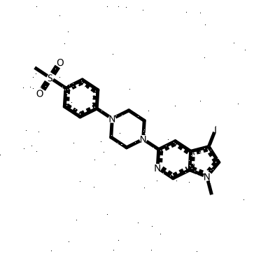 Cn1cc(I)c2cc(N3CCN(c4ccc(S(C)(=O)=O)cc4)CC3)ncc21